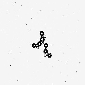 c1cc(-c2ccc3oc4ccccc4c3c2)cc(-n2c3cc4oc5ccccc5c4cc3c3cc4c(cc32)oc2ccccc24)c1